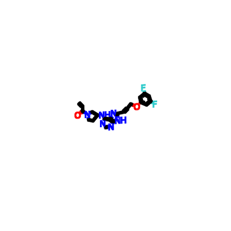 C=CC(=O)N1CCC(Nc2ncnc3[nH]c(C#CCOc4cc(F)cc(F)c4)nc23)C1